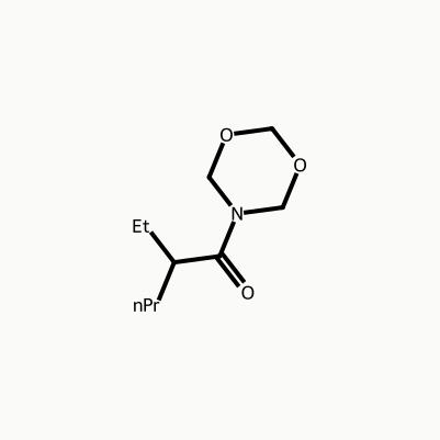 CCCC(CC)C(=O)N1COCOC1